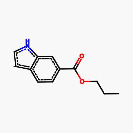 CCCOC(=O)c1ccc2[c]c[nH]c2c1